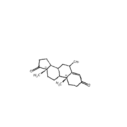 [CH]C1CC2C(CC[C@]3(C)C(=O)CCC23)[C@@]2(C)CCC(=O)C=C12